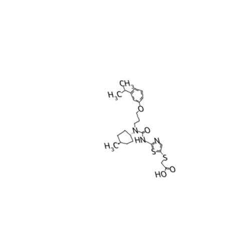 CC(C)c1cccc(OCCCN(C(=O)Nc2ncc(SCC(=O)O)s2)[C@H]2CC[C@H](C)CC2)c1